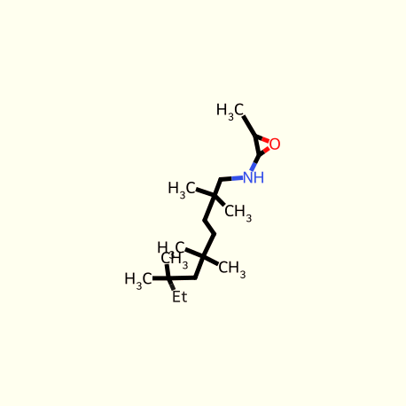 CCC(C)(C)CC(C)(C)CCC(C)(C)CNC1OC1C